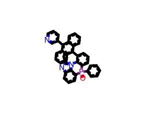 CCc1nc2cccc3c2n1-c1c(-c2c4ccccc4c(-c4cccnc4)c4ccccc24)cccc1P3(=O)c1ccccc1